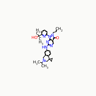 C=CCn1c(=O)c2cnc(Nc3ccc4c(c3)CN(C(C)C)CC43CC3)nc2n1-c1cccc(C(C)(C)O)n1